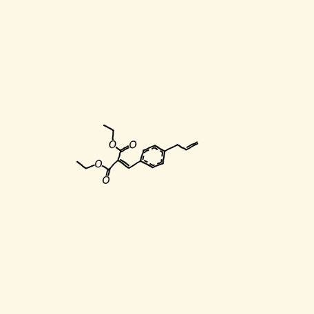 C=CCc1ccc(C=C(C(=O)OCC)C(=O)OCC)cc1